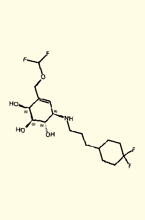 O[C@@H]1[C@@H](O)[C@@H](O)C(COC(F)F)=C[C@H]1NCCCC1CCC(F)(F)CC1